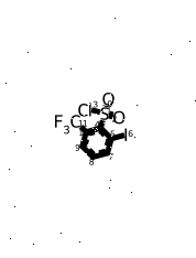 O=S(=O)(Cl)c1c(I)cccc1C(F)(F)F